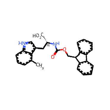 Cc1cccc2[nH]cc(C[C@@H](NC(=O)OCC3c4ccccc4-c4ccccc43)C(=O)O)c12